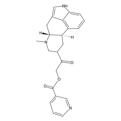 CN1CC(C(=O)COC(=O)c2cccnc2)C[C@@H]2c3cccc4[nH]cc(c34)C[C@H]21